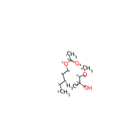 CCCCCOC(C)=O.COCC(C)O